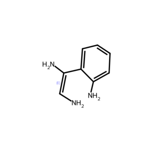 N/C=C(/N)c1ccccc1N